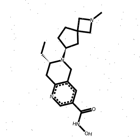 CC[C@H]1Cc2ncc(C(=O)NO)cc2CN1[C@H]1CCC2(C1)CN(C)C2